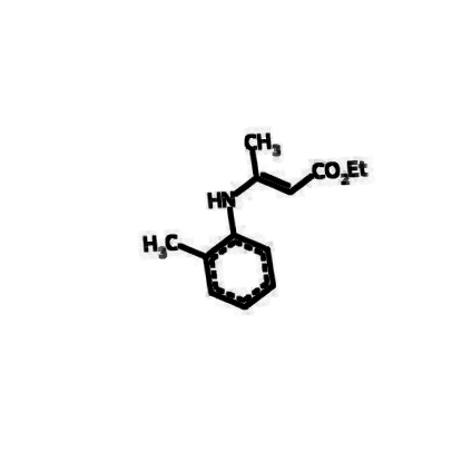 CCOC(=O)C=C(C)Nc1ccccc1C